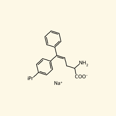 CC(C)c1ccc(/C(=C\CC(N)C(=O)[O-])c2ccccc2)cc1.[Na+]